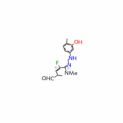 CNC(=N/CNc1ccc(C)c(O)c1)/C(F)=C\C(C)C=O